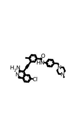 Cc1ccc(C(=O)Nc2ccc(CN3CCN(C)CC3)cc2)cc1C#Cc1c(N)ncc2ccc(Cl)cc12